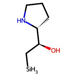 O[C@@H](C[SiH3])[C@H]1CCCN1